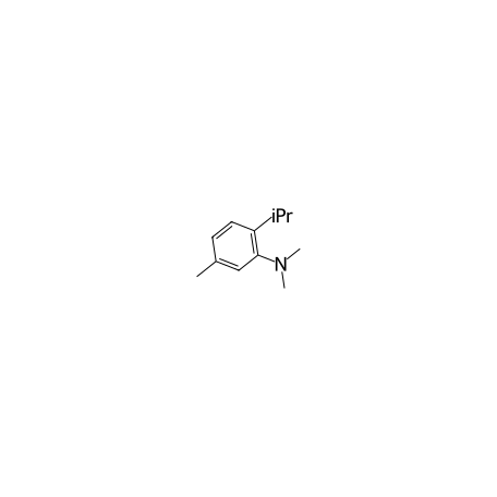 Cc1ccc(C(C)C)c(N(C)C)c1